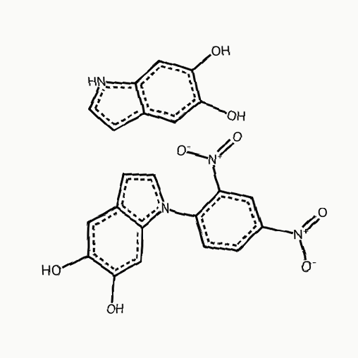 O=[N+]([O-])c1ccc(-n2ccc3cc(O)c(O)cc32)c([N+](=O)[O-])c1.Oc1cc2cc[nH]c2cc1O